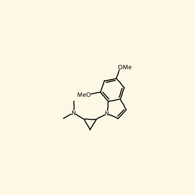 COc1cc(OC)c2c(ccn2C2CC2N(C)C)c1